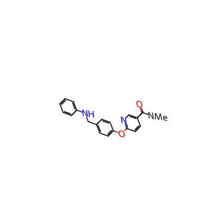 CNC(=O)c1ccc(Oc2ccc(CNc3ccccc3)cc2)nc1